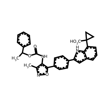 Cc1noc(-c2ccc(-c3cc4cccc(C5(C(=O)O)CC5)c4[nH]3)cc2)c1NC(=O)OC(C)c1ccccc1